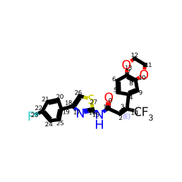 O=C(/C=C(\c1ccc2c(c1)OCCO2)C(F)(F)F)Nc1nc(-c2ccc(F)cc2)cs1